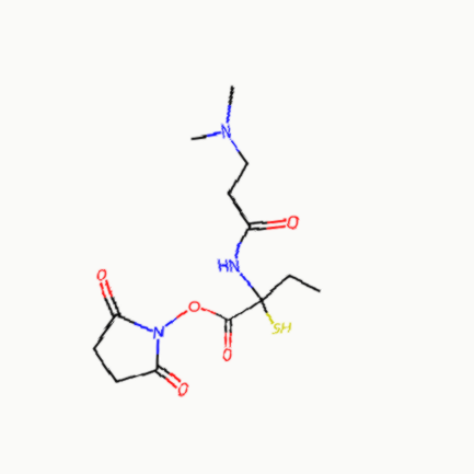 CCC(S)(NC(=O)CCN(C)C)C(=O)ON1C(=O)CCC1=O